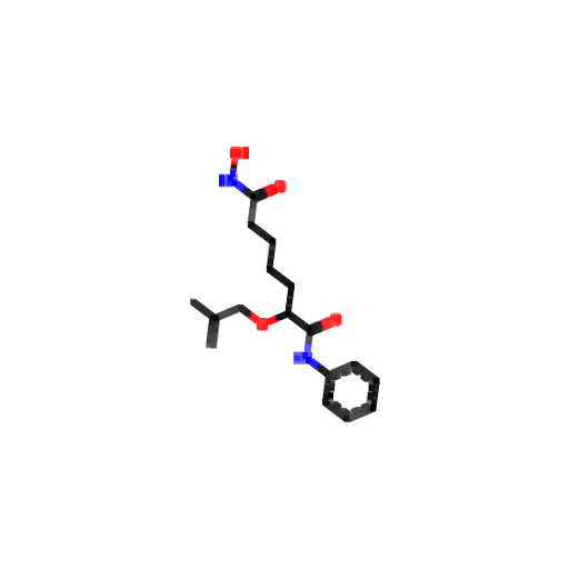 C=C(C)COC(CCCCC(=O)NO)C(=O)Nc1ccccc1